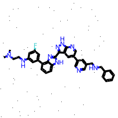 CN(C)CCNc1cc(F)cc(-c2cccc3[nH]c(-c4n[nH]c5ncc(-c6cncc(CNCc7ccccc7)c6)cc45)nc23)c1